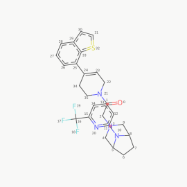 O=C(CN1CC2CCC(C1)N2c1cccc(C(F)(F)F)n1)N1CC=C(c2cccc3ccsc23)CC1